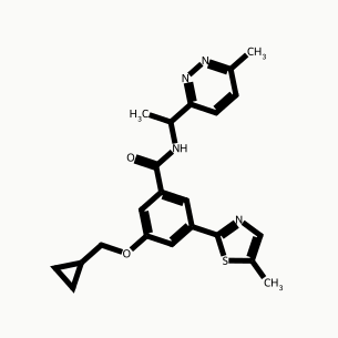 Cc1ccc(C(C)NC(=O)c2cc(OCC3CC3)cc(-c3ncc(C)s3)c2)nn1